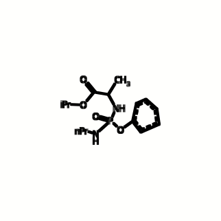 CCCNP(=O)(NC(C)C(=O)OC(C)C)Oc1ccccc1